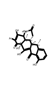 CCCCCC(=O)C[C@@H]1[C@]2(C)C(=C(O)[C@@]3(O)C(=O)C(C(C)=O)=C(O)C(C(C)C)[C@@]13C)C(=O)c1c(O)cccc1[C@H]2C